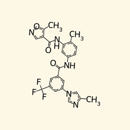 Cc1cn(-c2cc(C(=O)Nc3ccc(C)c(NC(=O)c4cnoc4C)c3)cc(C(F)(F)F)c2)cn1